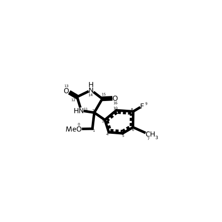 COCC1(c2ccc(C)c(F)c2)NC(=O)NC1=O